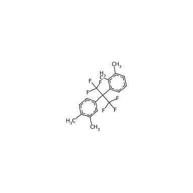 Cc1ccc(C(c2cccc(C)c2C)(C(F)(F)F)C(F)(F)F)cc1C